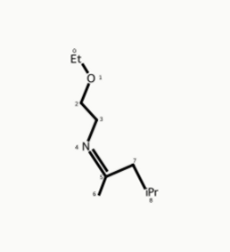 [CH2]COCCN=C(C)CC(C)C